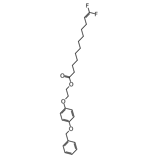 O=C(CCCCCCCCCC=C(F)F)OCCOc1ccc(OCc2ccccc2)cc1